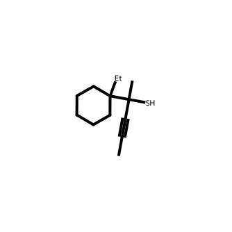 CC#CC(C)(S)C1(CC)CCCCC1